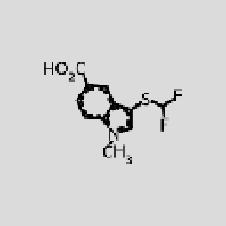 Cn1cc(SC(F)F)c2cc(C(=O)O)ccc21